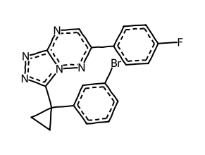 Fc1ccc(-c2cnc3nnc(C4(c5cccc(Br)c5)CC4)n3n2)cc1